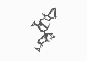 Cn1cc2c(-c3cc(F)c(CN4Cc5ncccc5C4=O)c(C4CC4)c3)ccc(OC3CC3)c2n1